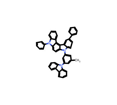 Cc1cc(-n2c3ccccc3c3ccccc32)cc(-n2c3ccc(-c4ccccc4)cc3c3c4c5ccccc5n(-c5ccccc5)c4ccc32)c1